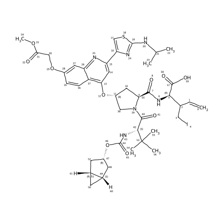 C=CC(CI)[C@@H](NC(=O)[C@@H]1C[C@@H](Oc2cc(-c3csc(NC(C)C)n3)nc3cc(OCC(=O)OC)ccc23)CN1C(=O)[C@@H](NC(=O)O[C@@H]1C[C@@H]2C[C@@H]2C1)C(C)(C)C)C(=O)O